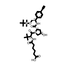 C#Cc1ccc([C@H](CO[Si](C)(C)C(C)(C)C)NC(=O)[C@@H]2C[C@@H](O)CN2C(=O)[C@@H](NC(=O)CCCCC(=O)O)C(C)(C)C)cc1